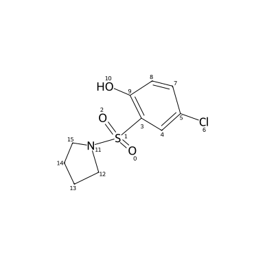 O=S(=O)(c1cc(Cl)ccc1O)N1CCCC1